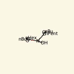 CCCCCCC(CCCC)C(=O)OCCCCCCCCCN(CCCCO)CCCCCCCCCOC(=O)C(CCCC)CCCCC